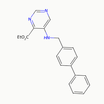 CCOC(=O)c1ncncc1NCc1ccc(-c2ccccc2)cc1